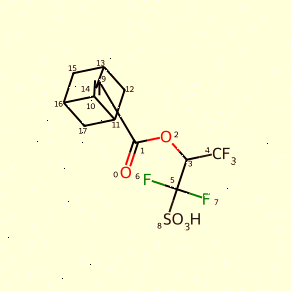 O=C(OC(C(F)(F)F)C(F)(F)S(=O)(=O)O)C1=C2C3CC(C1)CC2C3